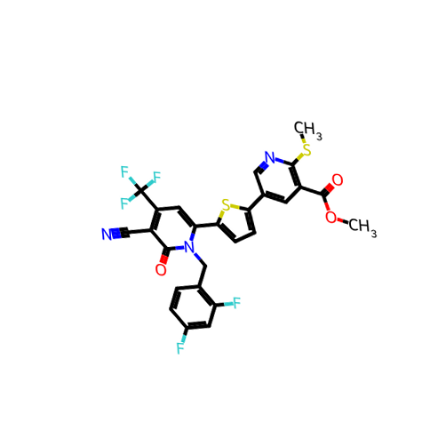 COC(=O)c1cc(-c2ccc(-c3cc(C(F)(F)F)c(C#N)c(=O)n3Cc3ccc(F)cc3F)s2)cnc1SC